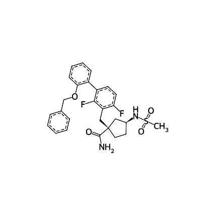 CS(=O)(=O)N[C@H]1CC[C@](Cc2c(F)ccc(-c3ccccc3OCc3ccccc3)c2F)(C(N)=O)C1